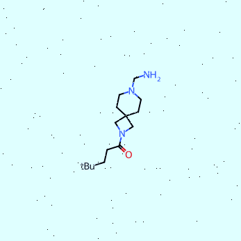 CC(C)(C)CCC(=O)N1CC2(CCN(CN)CC2)C1